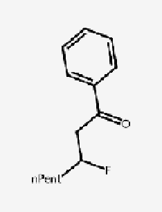 CCCCCC(F)CC(=O)c1ccccc1